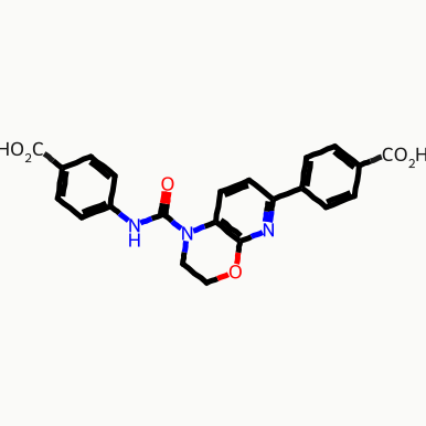 O=C(O)c1ccc(NC(=O)N2CCOc3nc(-c4ccc(C(=O)O)cc4)ccc32)cc1